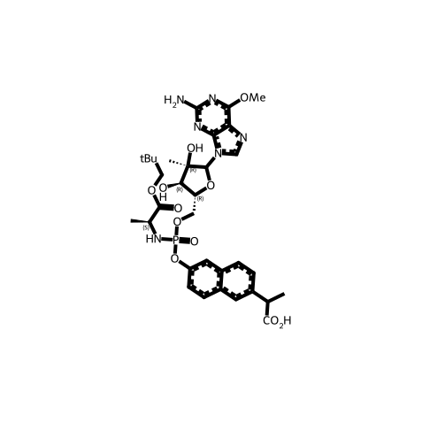 COc1nc(N)nc2c1ncn2C1O[C@H](COP(=O)(N[C@@H](C)C(=O)OCC(C)(C)C)Oc2ccc3cc(C(C)C(=O)O)ccc3c2)[C@@H](O)[C@@]1(C)O